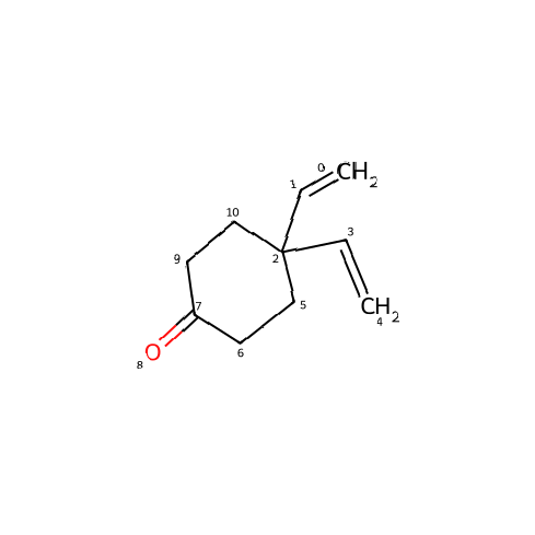 C=CC1(C=C)CCC(=O)CC1